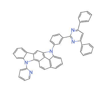 c1ccc(-c2cc(-c3ccccc3)nc(-c3cccc(-n4c5cccc6ccc7c(c65)c4cc4c5ccccc5n(-c5ccccn5)c47)c3)n2)cc1